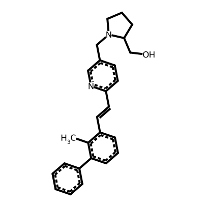 Cc1c(C=Cc2ccc(CN3CCCC3CO)cn2)cccc1-c1ccccc1